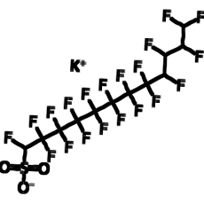 O=S(=O)([O-])C(F)C(F)(F)C(F)(F)C(F)(F)C(F)(F)C(F)(F)C(F)(F)C(F)(F)C(F)C(F)C(F)C(F)F.[K+]